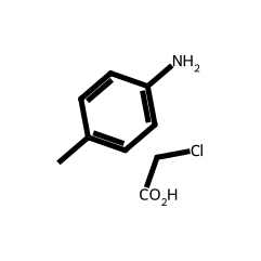 Cc1ccc(N)cc1.O=C(O)CCl